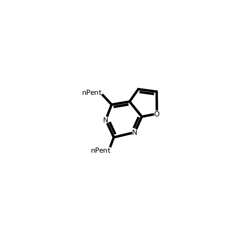 CCCCCc1nc(CCCCC)c2ccoc2n1